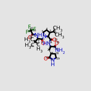 CC(C)C1CCN(C(=O)C(NC(=O)C(F)(F)F)C(C)(C)C)C1C(=O)NC(C[C@@H]1CCNC1=O)C(N)=O